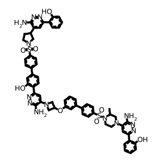 CC1CN(c2cc(-c3ccccc3O)nnc2N)CCN1S(=O)(=O)c1ccc(-c2cccc(OC3CN(c4cc(-c5ccc(-c6ccc(S(=O)(=O)N7CCC(c8cc(-c9ccccc9O)nnc8N)C7)cc6)cc5O)nnc4N)C3)c2)cc1